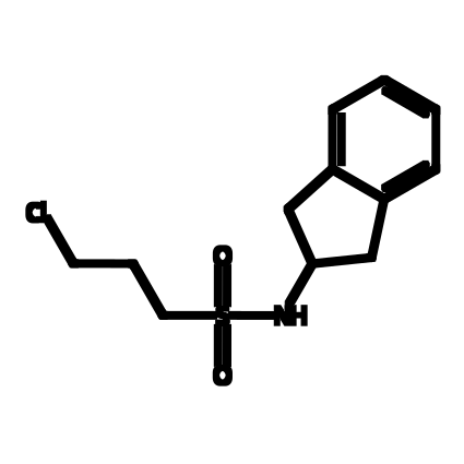 O=S(=O)(CCCCl)NC1Cc2ccccc2C1